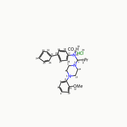 CCCC(N1CCN(c2ccccc2OC)CC1)N(C(=O)O)c1ccc(-c2ccccc2)cc1.Cl